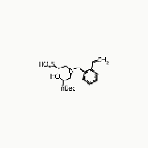 C=Cc1ccccc1CN(CCS(=O)(=O)O)CC(O)CCCCCCCCCC